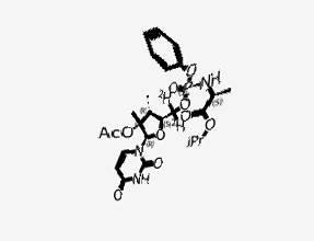 [2H]C([2H])(O[P@@](=O)(N[C@@H](C)C(=O)OC(C)C)Oc1ccccc1)[C@H]1O[C@@H](n2ccc(=O)[nH]c2=O)[C@](C)(OC(C)=O)[C@@H]1C